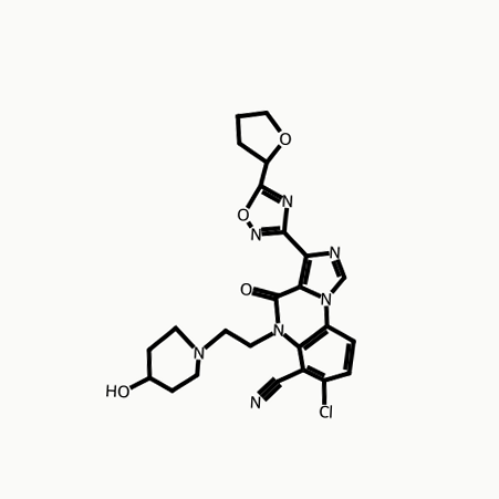 N#Cc1c(Cl)ccc2c1n(CCN1CCC(O)CC1)c(=O)c1c(-c3noc(C4CCCO4)n3)ncn12